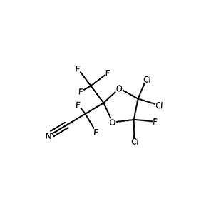 N#CC(F)(F)C1(C(F)(F)F)OC(F)(Cl)C(Cl)(Cl)O1